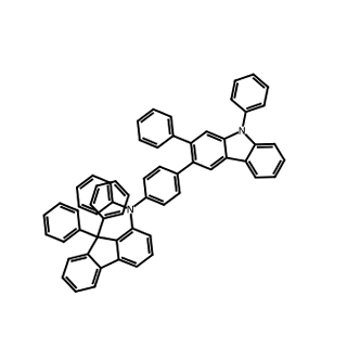 c1ccc(-c2cc3c(cc2-c2ccc(N(c4ccccc4)c4cccc5c4C(c4ccccc4)(c4ccccc4)c4ccccc4-5)cc2)c2ccccc2n3-c2ccccc2)cc1